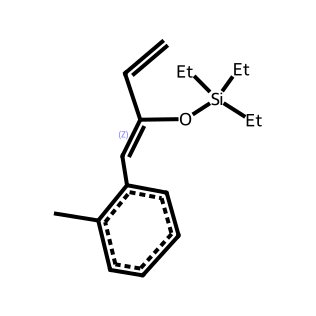 C=C/C(=C/c1ccccc1C)O[Si](CC)(CC)CC